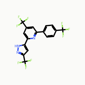 FC(F)(F)c1ccc(-c2cc(C(F)(F)F)cc(-c3cc(C(F)(F)F)n[nH]3)n2)cc1